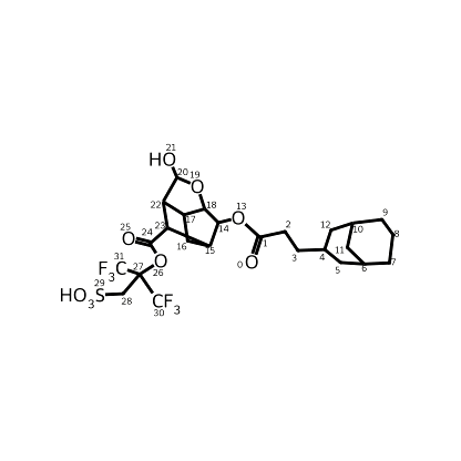 O=C(CCC1CC2CCCC(C2)C1)OC1C2CC3C1OC(O)C3C2C(=O)OC(CS(=O)(=O)O)(C(F)(F)F)C(F)(F)F